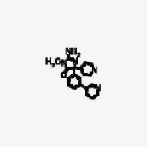 CN1C(=O)C(c2ccncc2)(c2cccc(-c3cccnc3)c2)N=C1N